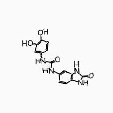 O=C(Nc1ccc(O)c(O)c1)Nc1ccc2[nH]c(=O)[nH]c2c1